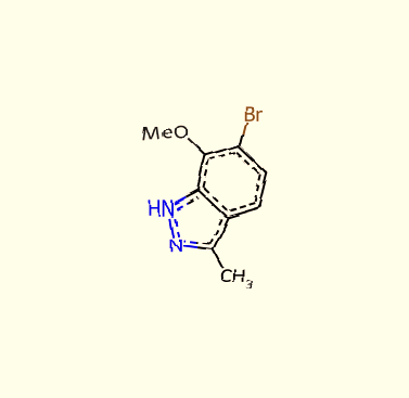 COc1c(Br)ccc2c(C)n[nH]c12